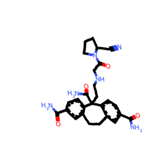 N#CC1CCCN1C(=O)CNCCC1(C(N)=O)c2ccc(C(N)=O)cc2CCc2cc(C(N)=O)ccc21